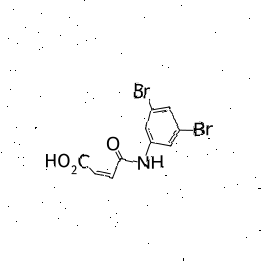 O=C(O)/C=C\C(=O)Nc1cc(Br)cc(Br)c1